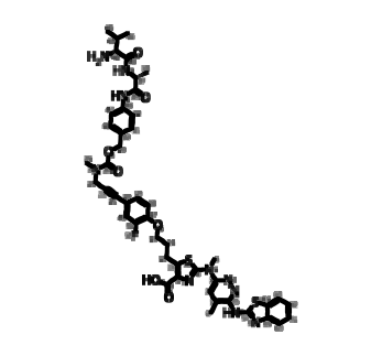 Cc1cc(N(C)c2nc(C(=O)O)c(CCCOc3ccc(C#CCN(C)C(=O)OCc4ccc(NC(=O)[C@H](C)NC(=O)[C@@H](N)C(C)C)cc4)cc3F)s2)nnc1Nc1nc2ccccc2s1